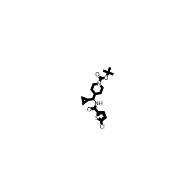 CC(C)(C)OC(=O)N1CCC([C@H](NC(=O)c2ccc(Cl)s2)C2CC2)CC1